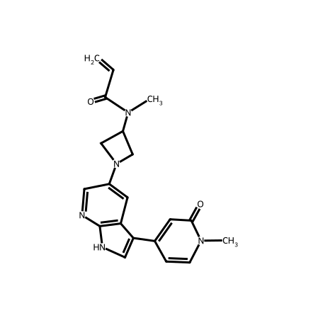 C=CC(=O)N(C)C1CN(c2cnc3[nH]cc(-c4ccn(C)c(=O)c4)c3c2)C1